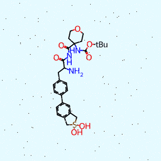 CC(C)(C)OC(=O)NC1(C(=O)NC(=O)C(N)Cc2ccc(-c3ccc4c(c3)CS(O)(O)C4)cc2)CCOCC1